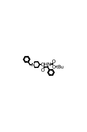 CC(C)(C)OC(=O)NC(C(=O)OC1CCN(Cc2ccccc2)CC1)c1ccccc1